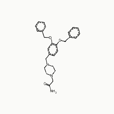 NC(=O)CN1CCN(Cc2ccc(OCc3ccccc3)c(OCc3ccccc3)c2)CC1